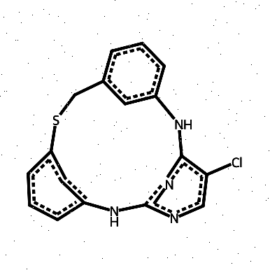 Clc1cnc2nc1Nc1cccc(c1)CSc1cccc(c1)N2